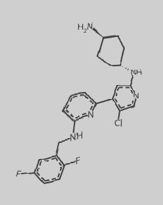 N[C@H]1CC[C@H](Nc2cc(-c3cccc(NCc4cc(F)ccc4F)n3)c(Cl)cn2)CC1